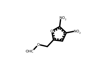 O=[C]OCc1cc([N+](=O)[O-])c([N+](=O)[O-])o1